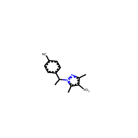 Cc1nn(C(C)c2ccc(C#N)cc2)c(C)c1[N+](=O)[O-]